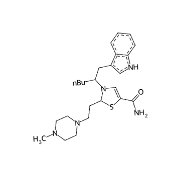 CCCCC(Cc1c[nH]c2ccccc12)N1C=C(C(N)=O)SC1CCN1CCN(C)CC1